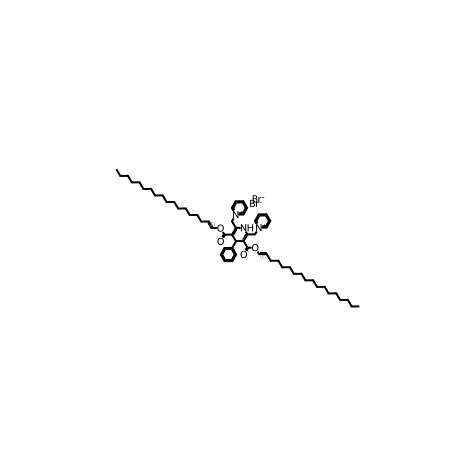 CCCCCCCCCCCCCCCC/C=C/OC(=O)C1=C(C[n+]2ccccc2)NC(C[n+]2ccccc2)=C(C(=O)O/C=C/CCCCCCCCCCCCCCCC)C1c1ccccc1.[Br-].[Br-]